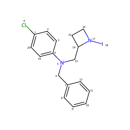 Clc1ccc(N(Cc2ccccc2)CC2CCN2I)cc1